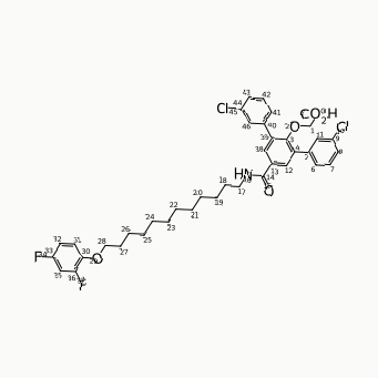 O=C(O)COc1c(-c2cccc(Cl)c2)cc(C(=O)NCCCCCCCCCCCCOc2ccc(F)cc2F)cc1-c1cccc(Cl)c1